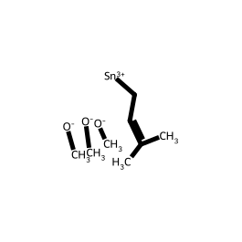 CC(C)=C[CH2][Sn+3].C[O-].C[O-].C[O-]